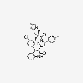 Cc1ccc(C2CC(c3c(-c4ccc(Cl)cc4)c4ccccc4[nH]c3=O)=NN2C(=O)C(F)(F)Cc2cscn2)cc1